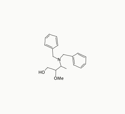 COC(CO)C(C)N(Cc1ccccc1)Cc1ccccc1